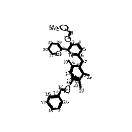 COCOc1ccc(Cc2c(C)cc(OCc3ccccc3)c(C)c2C)nc1C1=CCCCO1